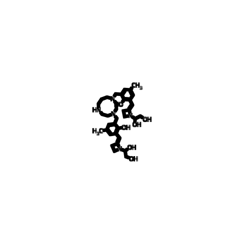 Cc1cc(C=C2CCN2C(O)CO)c(O)c(CN2CCCNCCN(Cc3cc(C)cc(C=C4CCN4C(O)CO)c3O)CC2)c1